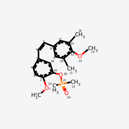 COc1ccc(/C=C\c2cc(C)c(OC)c(C)c2)cc1OP(C)(C)=O